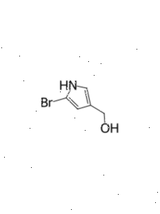 OCc1c[nH]c(Br)c1